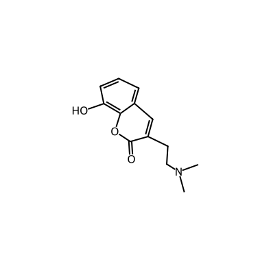 CN(C)CCc1cc2cccc(O)c2oc1=O